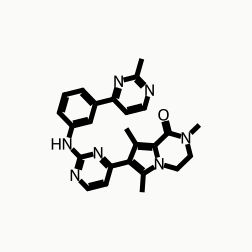 Cc1nccc(-c2cccc(Nc3nccc(-c4c(C)c5n(c4C)CCN(C)C5=O)n3)c2)n1